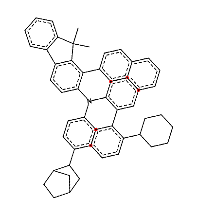 CC1(C)c2ccccc2-c2ccc(N(c3ccc(C4CC5CCC4C5)cc3)c3ccccc3-c3ccccc3C3CCCCC3)c(-c3ccc4ccccc4c3)c21